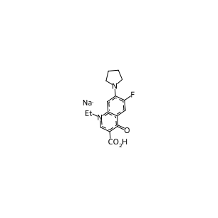 CCn1cc(C(=O)O)c(=O)c2cc(F)c(N3CCCC3)cc21.[Na]